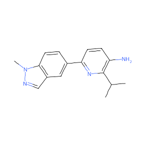 CC(C)c1nc(-c2ccc3c(cnn3C)c2)ccc1N